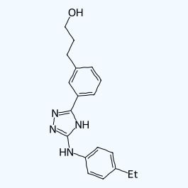 [CH2]Cc1ccc(Nc2nnc(-c3cccc(CCCO)c3)[nH]2)cc1